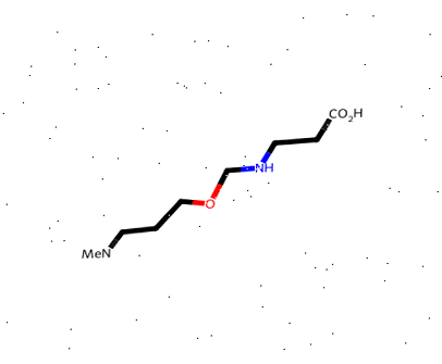 CNCCCOCNCCC(=O)O